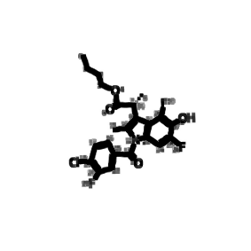 CCCCOC(=O)[C@H](C)c1c(C)n(C(=O)c2ccc(Cl)c(F)c2)c2cc(F)c(O)c(F)c12